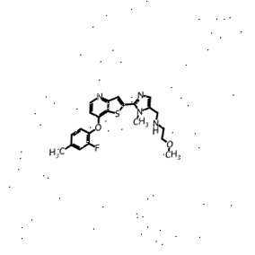 COCCNCc1cnc(-c2cc3nccc(Oc4ccc(C)cc4F)c3s2)n1C